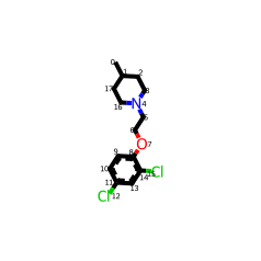 CC1CCN(CCOc2ccc(Cl)cc2Cl)CC1